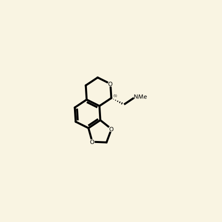 CNC[C@H]1OCCc2ccc3c(c21)OCO3